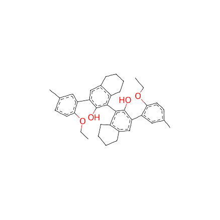 CCOc1ccc(C)cc1-c1cc2c(c(-c3c(O)c(-c4cc(C)ccc4OCC)cc4c3CCCC4)c1O)CCCC2